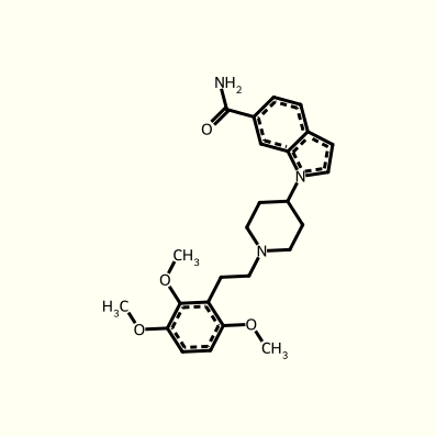 COc1ccc(OC)c(OC)c1CCN1CCC(n2ccc3ccc(C(N)=O)cc32)CC1